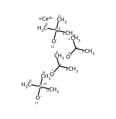 CC(C)[O-].CC(C)[O-].C[Si](C)(C)[O-].C[Si](C)(C)[O-].[Ce+4]